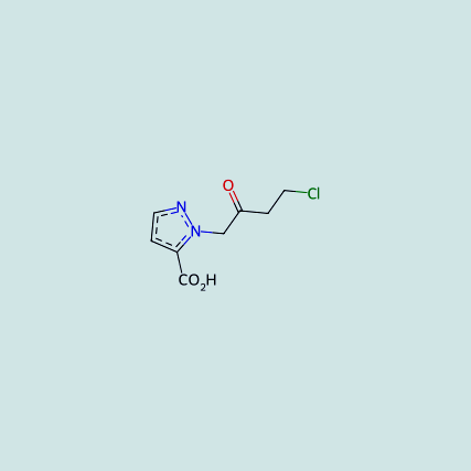 O=C(CCCl)Cn1nccc1C(=O)O